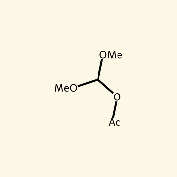 CO[C](OC)OC(C)=O